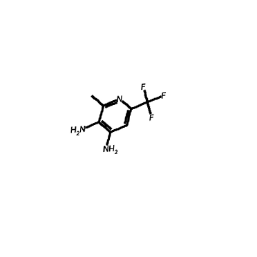 Cc1nc(C(F)(F)F)cc(N)c1N